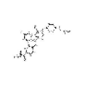 COCCN1CCN(CC2CCc3c(c4cc(F)ccc4n3Cc3ccc(C(=O)NO)cc3)C2=O)CC1